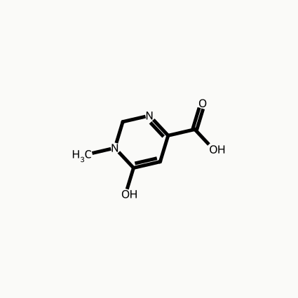 CN1CN=C(C(=O)O)C=C1O